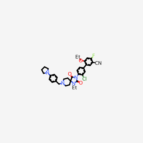 CCOc1cc(F)c(C#N)cc1-c1ccc(N2C(=O)N(CC)C3(CCN(Cc4ccc(N5CCCC5)cc4)CC3)C2=O)c(Cl)c1